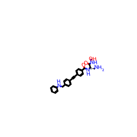 NC[C@H](NC(=O)c1ccc(C#Cc2ccc(CNc3ccccc3)cc2)cc1)C(=O)NO